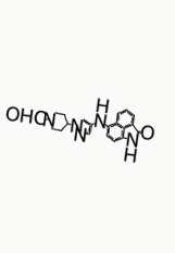 O=CN1CCC(n2cc(Nc3ccc4c5c(cccc35)C(=O)N4)cn2)CC1